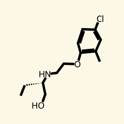 CC[C@@H](CO)NCCOc1ccc(Cl)cc1C